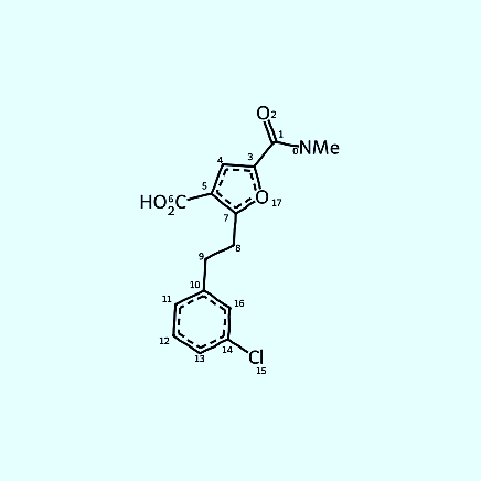 CNC(=O)c1cc(C(=O)O)c(CCc2cccc(Cl)c2)o1